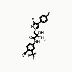 CC(O)(Cn1cc(-c2ccc(F)cc2)c(F)n1)C(=O)Nc1ccc(C#N)c(C(F)(F)F)c1